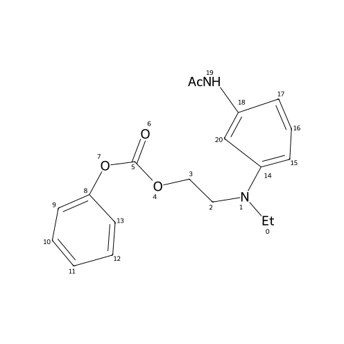 CCN(CCOC(=O)Oc1ccccc1)c1cccc(NC(C)=O)c1